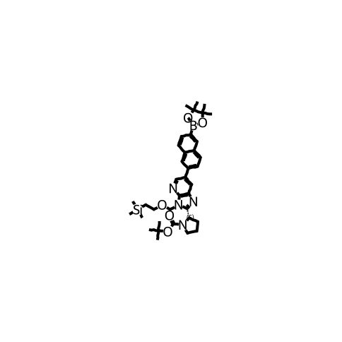 CC(C)(C)OC(=O)N1CCC[C@H]1c1nc2cc(-c3ccc4cc(B5OC(C)(C)C(C)(C)O5)ccc4c3)cnc2n1COCC[Si](C)(C)C